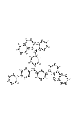 c1ccc(-c2ccc(N(c3ccc(-n4c5ccccc5c5ccc6ccccc6c54)cc3)c3cccc(-c4cccc5c4oc4ccccc45)c3)cc2)cc1